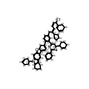 CCC(/C=C\C=C(/Cc1ccc(C2=CC=C3c4cc5c6c(n(C7CC=CCC7)c5cc4OC3C2)CCCC6)c(C2=NC(c3ccccc3)=NC(C3C=CCCC3)C2)c1)C1CCCC1)C1=CC=CCC1